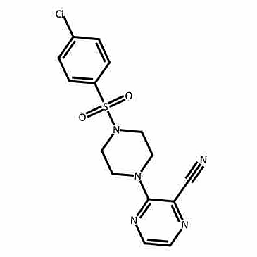 N#Cc1nccnc1N1CCN(S(=O)(=O)c2ccc(Cl)cc2)CC1